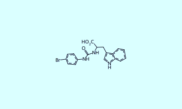 O=C(Nc1ccc(Br)cc1)NC(Cc1c[nH]c2ccccc12)C(=O)O